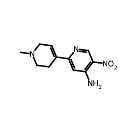 CN1CC=C(c2cc(N)c([N+](=O)[O-])cn2)CC1